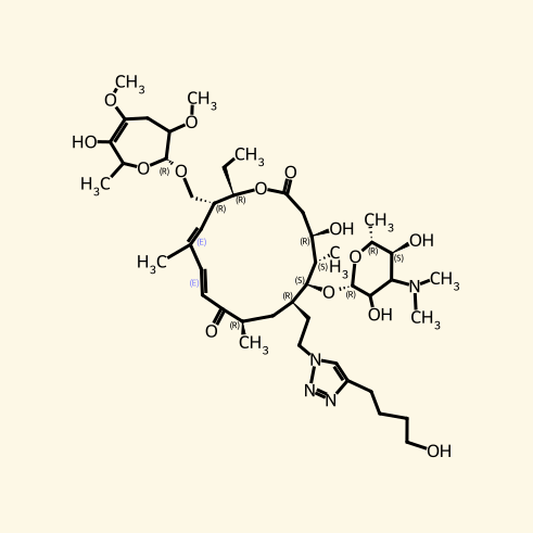 CC[C@H]1OC(=O)C[C@@H](O)[C@H](C)[C@@H](O[C@@H]2O[C@H](C)[C@@H](O)C(N(C)C)C2O)[C@@H](CCn2cc(CCCCO)nn2)C[C@@H](C)C(=O)/C=C/C(C)=C/[C@@H]1CO[C@@H]1OC(C)C(O)=C(OC)CC1OC